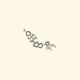 [2H]C([2H])(C(=O)Nc1ncc2ccc(-c3cnc(C)n3C)cc2n1)c1ccc(F)cc1